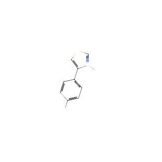 [O-][n+]1[c]scc1-c1ccc(Br)cc1